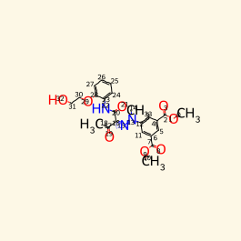 COC(=O)c1cc(C(=O)OC)cc(N(C)/N=C(/C(C)=O)C(=O)Nc2ccccc2OCCO)c1